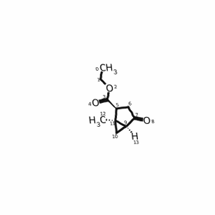 CCOC(=O)[C@H]1CC(=O)[C@H]2C[C@]21C